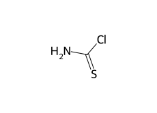 NC(=S)Cl